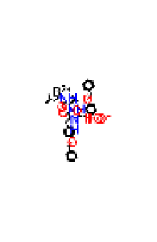 [B+2]C(CC(C)C)NC(=O)C(NC(=O)C(Cc1ccc(OCc2ccccc2)cc1)NC(=O)Cc1cccc(OCc2ccccc2)c1)C(C)C.[OH-].[OH-]